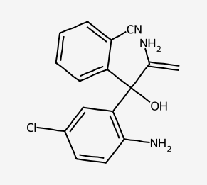 C=C(N)C(O)(c1cc(Cl)ccc1N)c1ccccc1C#N